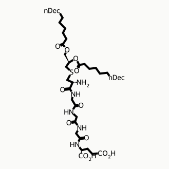 CCCCCCCCCCCCCCCC(=O)OC[C@H](CSC[C@H](N)C(=O)NCC(=O)NCC(=O)NCC(=O)N[C@H](CCC(=O)O)C(=O)O)OC(=O)CCCCCCCCCCCCCCC